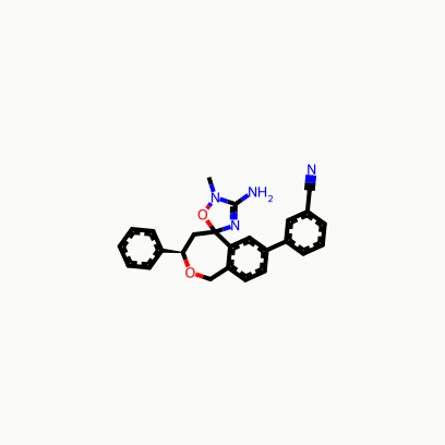 CN1OC2(C[C@H](c3ccccc3)OCc3ccc(-c4cccc(C#N)c4)cc32)N=C1N